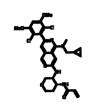 C=CC(=O)N[C@H]1CCOC[C@H]1Nc1cc2c(N(C)CC3CC3)nc(-c3c(Cl)c(OC)cc(OC)c3Cl)cc2cn1